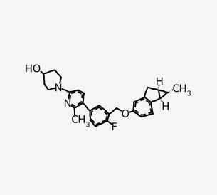 Cc1nc(N2CCC(O)CC2)ccc1-c1ccc(F)c(COc2ccc3c(c2)C[C@H]2[C@H](C)[C@@H]32)c1